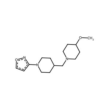 COC1CCN(CC2CCN(c3ccon3)CC2)CC1